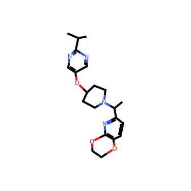 CC(C)c1ncc(OC2CCN(C(C)c3ccc4c(n3)OCCO4)CC2)cn1